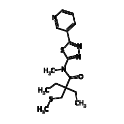 CCC(CC)(CSC)C(=O)N(C)c1nnc(-c2cccnc2)s1